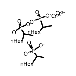 CCCCCCC(C)P(=O)([O-])[O-].CCCCCCC(C)P(=O)([O-])[O-].CCCCCCC(C)P(=O)([O-])[O-].[Cr+3].[Cr+3]